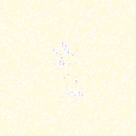 Cc1nc2[nH]c(-c3ccc4[nH]ncc4c3)cc(=O)n2n1